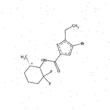 CCc1sc(C(=O)NC2[C@@H](C)CCCC2(F)F)cc1Br